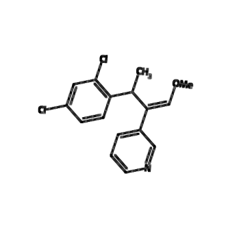 COC=C(c1cccnc1)C(C)c1ccc(Cl)cc1Cl